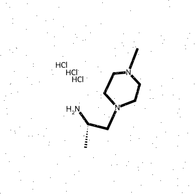 C[C@H](N)CN1CCN(C)CC1.Cl.Cl.Cl